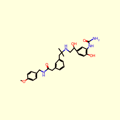 COc1ccc(CNC(=O)Cc2cccc(CC(C)(C)NCC(O)c3ccc(O)c(NC(N)=O)c3)c2)cc1